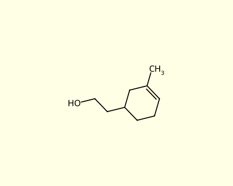 CC1=CCCC(CCO)C1